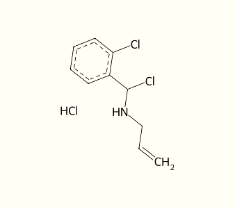 C=CCNC(Cl)c1ccccc1Cl.Cl